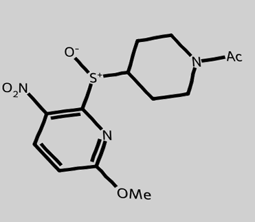 COc1ccc([N+](=O)[O-])c([S+]([O-])C2CCN(C(C)=O)CC2)n1